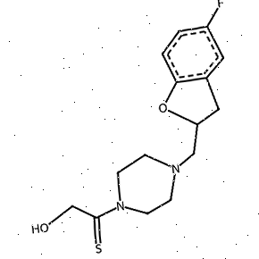 OCC(=S)N1CCN(CC2Cc3cc(F)ccc3O2)CC1